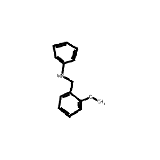 COc1ccccc1CNc1[c]cccc1